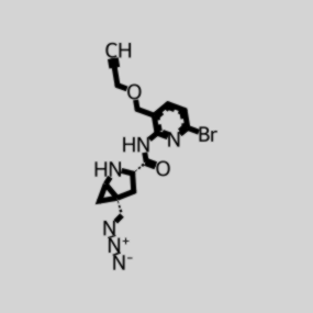 C#CCOCc1ccc(Br)nc1NC(=O)[C@@H]1C[C@@]2(CN=[N+]=[N-])CC2N1